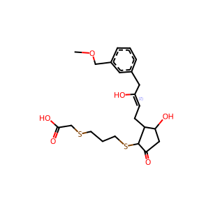 COCc1cccc(C/C(O)=C/CC2C(O)CC(=O)C2SCCCSCC(=O)O)c1